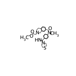 CCOC(=O)CN1CCc2ccc(C(=O)N(C)c3ccc(C(=N)N4CCSCC4)cc3)cc2C1